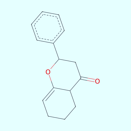 O=C1CC(c2ccccc2)OC2=CCCCC12